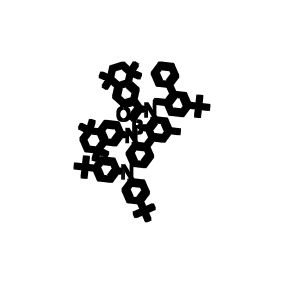 Cc1cc2c3c(c1)N(Cc1ccc(C(C)(C)C)cc1-c1ccccc1)c1c(oc4cc5c(cc14)C(C)(C)CCC5(C)C)B3N(c1ccc3c(c1)C(C)(C)CCC3(C)C)c1cc(N(c3ccc(C(C)(C)C)cc3)c3ccc(C(C)(C)C)cc3)ccc1-2